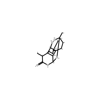 CC1CCC23C(C)C(=O)OC4OC5(C)CCC1(C2OO5)C43